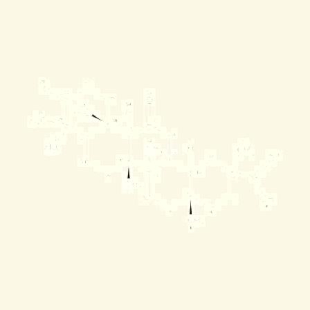 CC1(C(=O)O)CC[C@]2(C)CC[C@]3(C)C(=CC(=O)[C@@H]4[C@@]5(C)CCC(=O)C(C)(C)C5CC[C@]43C)[C@H]2C1